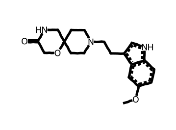 COc1ccc2[nH]cc(CCN3CCC4(CC3)CNC(=O)CO4)c2c1